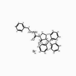 O=C(NOCc1ccccc1)N1CCC([P+](c2ccccc2)(c2ccccc2)c2ccccc2)C1=O.[Br-]